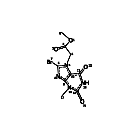 COC(=O)Cn1c(Br)nc2c1c(=O)[nH]c(=O)n2C